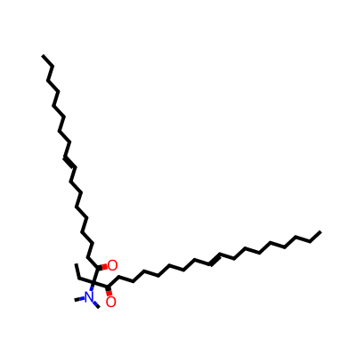 CCCCCCCCC=CCCCCCCCC(=O)C(CC)(C(=O)CCCCCCCC=CCCCCCCCC)N(C)C